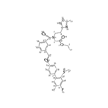 CCOC(=O)CN(CCc1noc(C)n1)C(=O)c1cccc(COc2ccc(-c3cc(F)c(F)cc3SC)cc2)c1